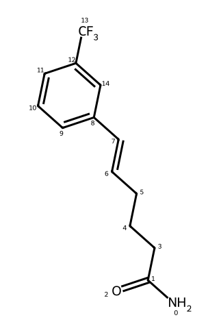 NC(=O)CCCC=Cc1cccc(C(F)(F)F)c1